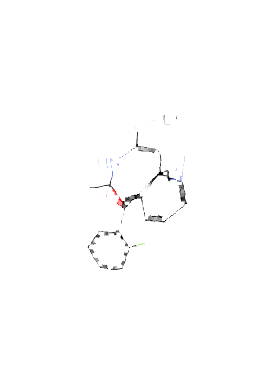 CCOC(=O)C1=CC23C(=CC(C)N1)C=CC=C2NCC3C(=O)c1ccccc1F